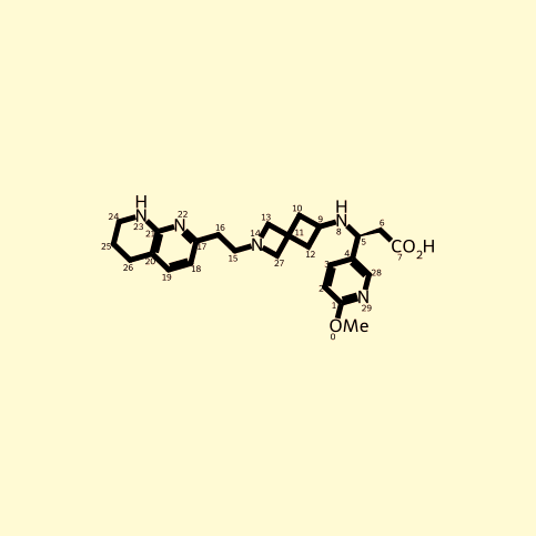 COc1ccc([C@H](CC(=O)O)NC2CC3(C2)CN(CCc2ccc4c(n2)NCCC4)C3)cn1